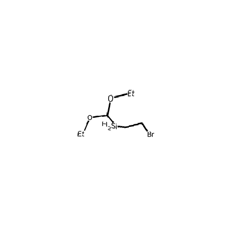 CCOC(OCC)[SiH2]CBr